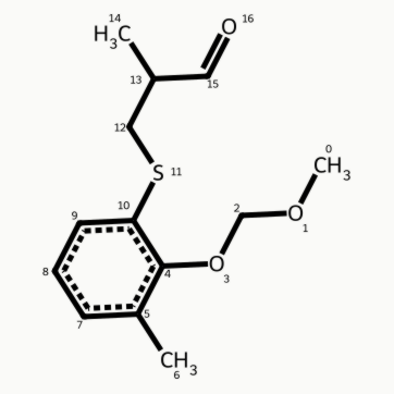 COCOc1c(C)cccc1SCC(C)C=O